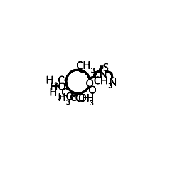 C/C1=C/CC(/C(C)=C/c2csc(CC#N)n2)OC(=O)C[C@H](O)C(C)(C)C(=O)[C@H](C)[C@@H](O)[C@@H](C)CCC1